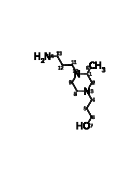 CC1CN(CCCO)CCN1CCCN